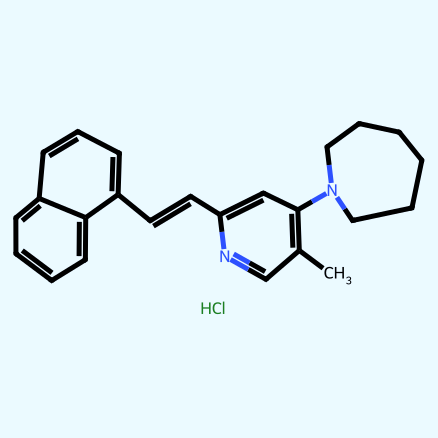 Cc1cnc(C=Cc2cccc3ccccc23)cc1N1CCCCCC1.Cl